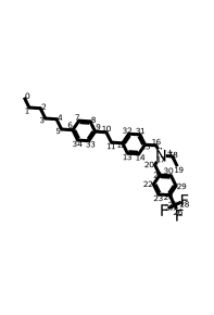 CCCCCCc1ccc(CCc2ccc(C[N+](CC)Cc3ccc(C(F)(F)F)cc3)cc2)cc1